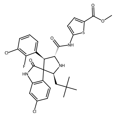 COC(=O)c1ccc(NC(=O)[C@@H]2N[C@@H](CC(C)(C)C)C3(C(=O)Nc4cc(Cl)ccc43)[C@H]2c2cccc(Cl)c2F)s1